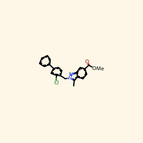 COC(=O)c1ccc2c(C)n(Cc3ccc(-c4ccccc4)cc3Cl)nc2c1